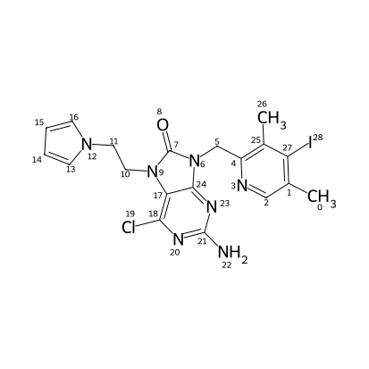 Cc1cnc(Cn2c(=O)n(CCn3cccc3)c3c(Cl)nc(N)nc32)c(C)c1I